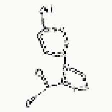 O=CC(=O)c1cccn1-c1ccc(O)cc1